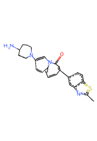 Cc1nc2cc(C3=C\C(=O)N4C=C(N5CCC(N)CC5)C=C\C4=C/C=C/3)ccc2s1